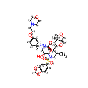 CC(C)CN(C[C@@H](O)[C@H](Cc1ccc(OCCN2CCOCC2)cc1)NC(=O)O[C@H]1CO[C@H]2COC[C@H]21)S(=O)(=O)c1ccc2c(c1)OCO2